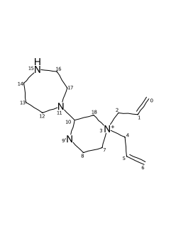 C=CC[N+]1(CC=C)CC[N]C(N2CCCNCC2)C1